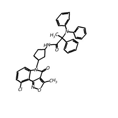 Cc1onc2c1c(=O)n(C1CCC(NC(=O)C(C)(c3ccccc3)N(c3ccccc3)c3ccccc3)C1)c1cccc(Cl)c21